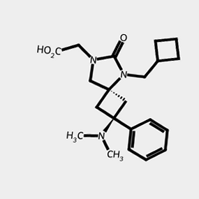 CN(C)[C@]1(c2ccccc2)C[C@@]2(CN(CC(=O)O)C(=O)N2CC2CCC2)C1